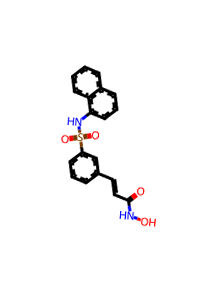 O=C(C=Cc1cccc(S(=O)(=O)Nc2cccc3ccccc23)c1)NO